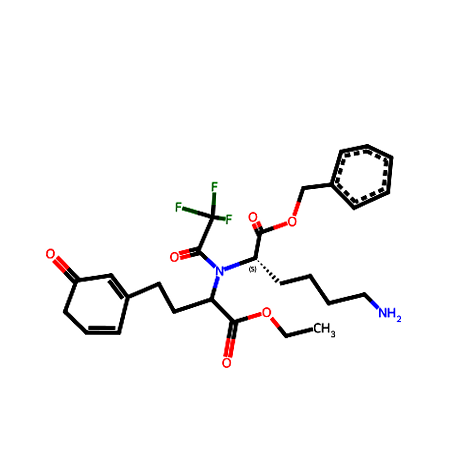 CCOC(=O)C(CCC1=CC(=O)CC=C1)N(C(=O)C(F)(F)F)[C@@H](CCCCN)C(=O)OCc1ccccc1